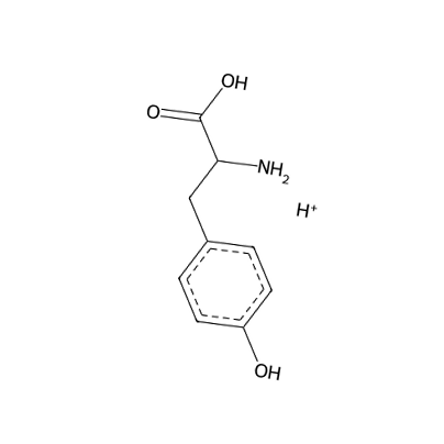 NC(Cc1ccc(O)cc1)C(=O)O.[H+]